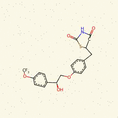 O=C1CC(Cc2ccc(OC[C@@H](O)c3ccc(OC(F)(F)F)cc3)cc2)SC(=O)N1